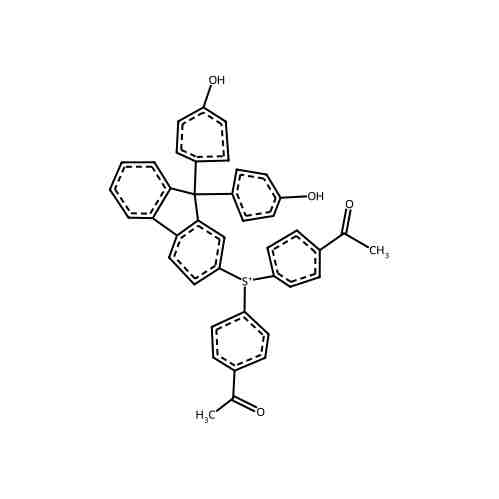 CC(=O)c1ccc([S+](c2ccc(C(C)=O)cc2)c2ccc3c(c2)C(c2ccc(O)cc2)(c2ccc(O)cc2)c2ccccc2-3)cc1